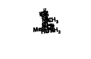 COC(=O)c1c(-c2cnn(CC34CC5CC(CC(C5)C3)C4)c2C)cnc(N)c1O